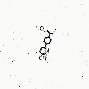 Cc1ccc(-c2ccc(/C(F)=C\CO)cc2)nn1